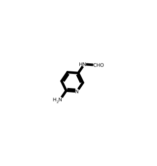 Nc1ccc(NC=O)cn1